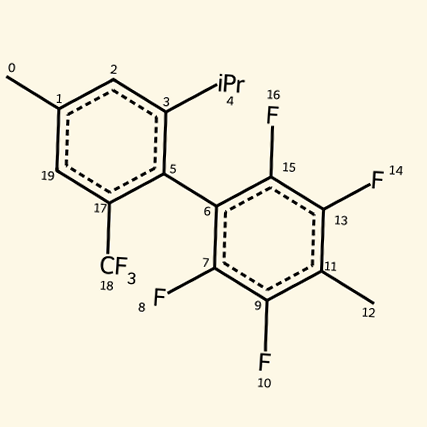 Cc1cc(C(C)C)c(-c2c(F)c(F)c(C)c(F)c2F)c(C(F)(F)F)c1